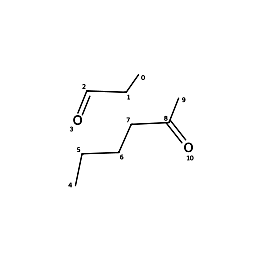 CCC=O.CCCCC(C)=O